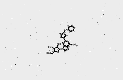 Nc1nc(-c2cnn(Cc3ccccc3)c2)nc2c1ncn2C1OC(CO)C(O)C1O